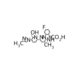 Cc1cn(-c2ccc(-c3cc(C)c(N[C@@H](C(=O)O)c4ccc(F)cc4)nn3)nc2CO)cn1